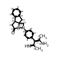 CC(=N)/C(=C(/C)N)c1ccc(N2CC34Cc5ccccc5C3CC(=O)N24)cc1